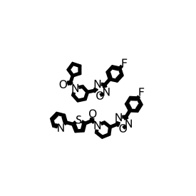 O=C(C1CCCC1)N1CCCC(c2nc(-c3ccc(F)cc3)no2)C1.O=C(c1ccc(-c2ccccn2)s1)N1CCCC(c2nc(-c3ccc(F)cc3)no2)C1